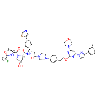 Cc1cccc(-c2ccn(-c3cc(N4CCOCC4)nc(OCCc4ccc(N5CCN(C(=O)C[C@H](NC(=O)[C@@H]6C[C@@H](O)CN6C(=O)[C@@H](NC(=O)C6(F)CC6)C(C)(C)C)c6ccc(-c7scnc7C)cc6)CC5)cc4)n3)n2)c1